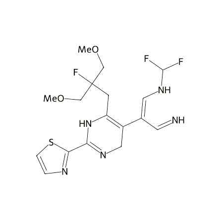 COCC(F)(COC)CC1=C(/C(C=N)=C/NC(F)F)CN=C(c2nccs2)N1